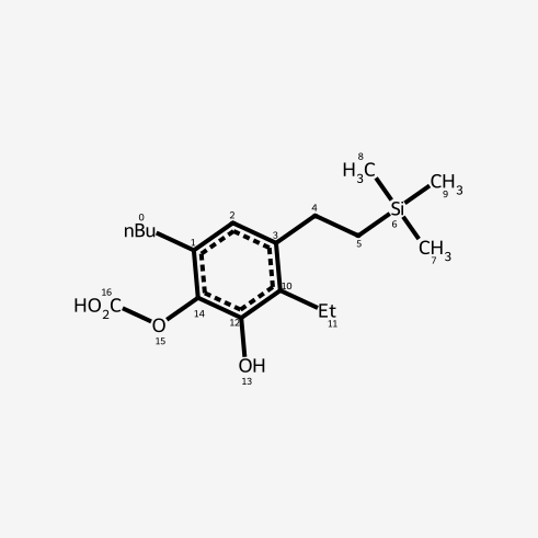 CCCCc1cc(CC[Si](C)(C)C)c(CC)c(O)c1OC(=O)O